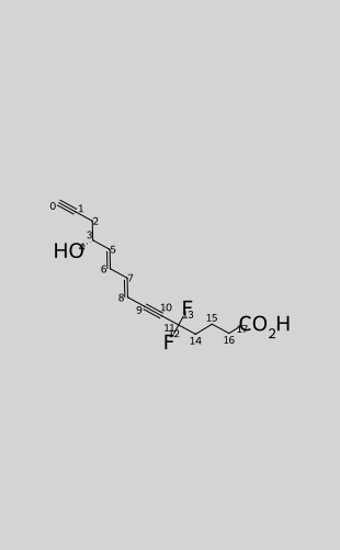 C#CC[C@@H](O)/C=C/C=C/C#CC(F)(F)CCCC(=O)O